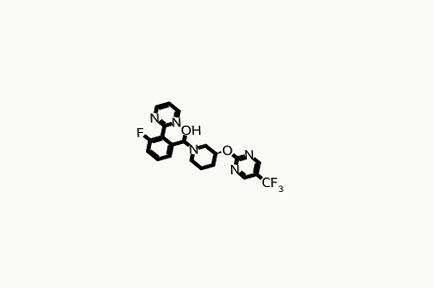 OC(c1cccc(F)c1-c1ncccn1)N1CCC[C@@H](Oc2ncc(C(F)(F)F)cn2)C1